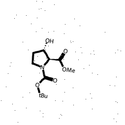 COC(=O)[C@@H]1[C@@H](O)CCN1C(=O)OC(C)(C)C